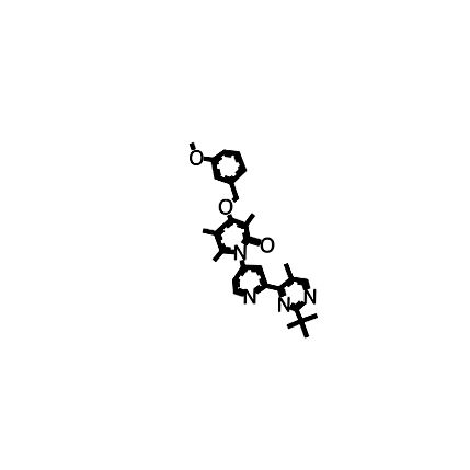 COc1cccc(COc2c(C)c(C)n(-c3ccnc(-c4nc(C(C)(C)C)ncc4C)c3)c(=O)c2C)c1